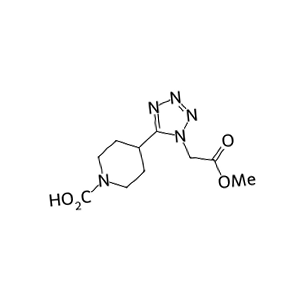 COC(=O)Cn1nnnc1C1CCN(C(=O)O)CC1